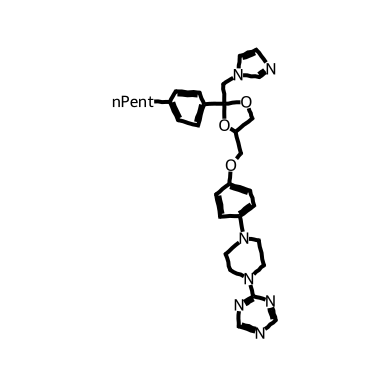 CCCCCc1ccc(C2(Cn3ccnc3)OCC(COc3ccc(N4CCN(c5ncncn5)CC4)cc3)O2)cc1